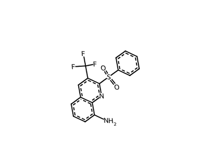 Nc1cccc2cc(C(F)(F)F)c(S(=O)(=O)c3ccccc3)nc12